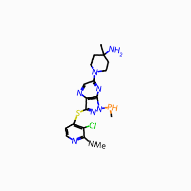 CNc1nccc(Sc2nn(PC)c3nc(N4CCC(C)(N)CC4)cnc23)c1Cl